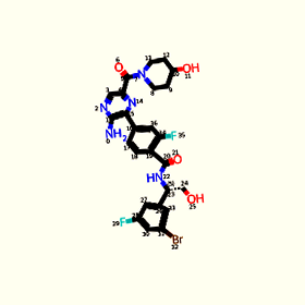 Nc1ncc(C(=O)N2CCC(O)CC2)nc1-c1ccc(C(=O)N[C@H](CO)c2cc(F)cc(Br)c2)c(F)c1